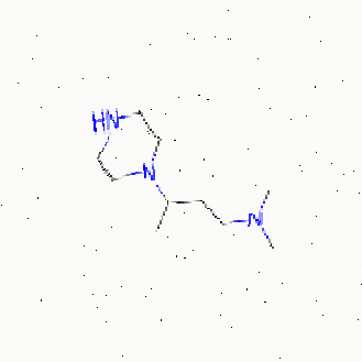 CC(CCN(C)C)N1CCNCC1